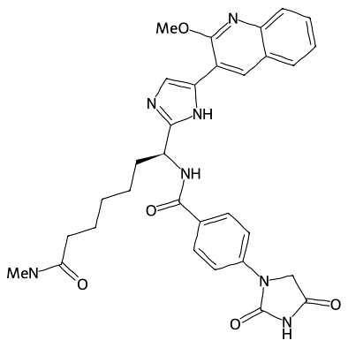 CNC(=O)CCCCC[C@H](NC(=O)c1ccc(N2CC(=O)NC2=O)cc1)c1ncc(-c2cc3ccccc3nc2OC)[nH]1